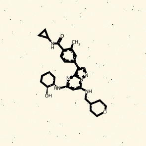 Cc1cc(-c2cnn3c(NCC4CCOCC4)cc(N[C@@H]4CCCC[C@@H]4O)nc23)ccc1C(=O)NC1CC1